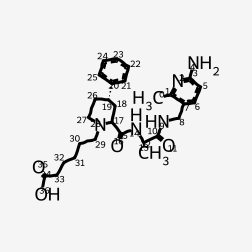 Cc1nc(N)ccc1CNC(=O)[C@H](C)NC(=O)C1C[C@@H](c2ccccc2)CCN1CCCCCC(=O)O